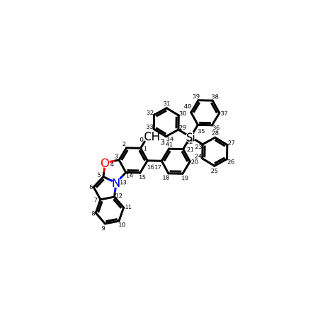 Cc1cc2oc3cc4ccccc4n3c2cc1-c1cccc([Si](c2ccccc2)(c2ccccc2)c2ccccc2)c1